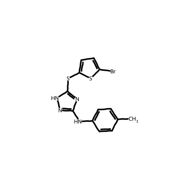 Cc1ccc(Nc2n[nH]c(Sc3ccc(Br)s3)n2)cc1